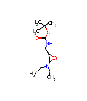 CCN(CC)C1OC1CNC(=O)OC(C)(C)C